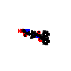 O=C(C=Cc1ccc(C(=O)NCC(=O)N(c2ccccc2)c2ccccc2)cc1)NO